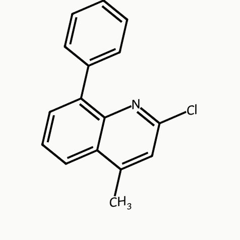 Cc1cc(Cl)nc2c(-c3ccccc3)cccc12